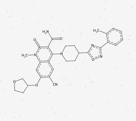 Cc1ccccc1-c1noc(C2CCN(c3c(C(N)=O)c(=O)n(C)c4cc(OC5CCOC5)c(C#N)cc34)CC2)n1